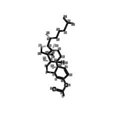 CC(=O)OC1=CC2CC[C@]3(C)[C@H](CC[C@]4(C)[C@@H]([C@H](C)CCCC(C)C)CC[C@]43C)[C@@]2(C)C=C1